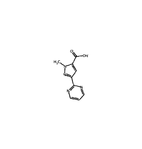 Cn1nc(-c2ncccn2)cc1C(=O)O